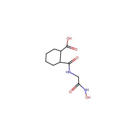 O=C(CNC(=O)C1CCCCC1C(=O)O)NO